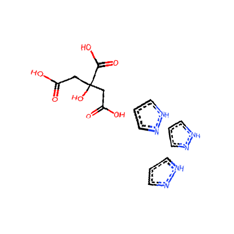 O=C(O)CC(O)(CC(=O)O)C(=O)O.c1cn[nH]c1.c1cn[nH]c1.c1cn[nH]c1